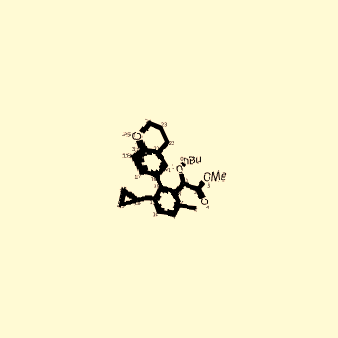 CCCCOC(C(=O)OC)c1c(C)ccc(C2CC2)c1-c1ccc2c(c1)CCCO2